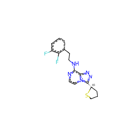 Fc1cccc(CCNc2nccn3c([C@@H]4CCCS4)nnc23)c1F